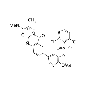 CNC(=O)[C@H](C)Cn1cnc2ccc(-c3cnc(OC)c(NS(=O)(=O)c4c(Cl)cccc4Cl)c3)cc2c1=O